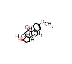 COC1=CC2=CC[C@@H]3[C@H](C(=O)C[C@]4(C)C(=O)CC[C@@H]34)[C@@]2(C)CC1